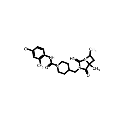 CC1CC2(C)C(=O)N(CC3CCN(C(=O)Nc4ccc(Cl)cc4C(F)(F)F)CC3)C(=N)N12